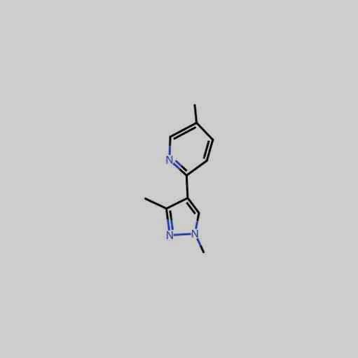 Cc1ccc(-c2cn(C)nc2C)nc1